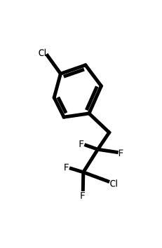 FC(F)(Cl)C(F)(F)Cc1ccc(Cl)cc1